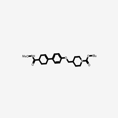 CONC(=O)C1CC=C(c2ccc(OCC3CCN(C(=O)OC(C)(C)C)CC3)cc2)CC1